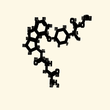 CN(C(=O)OC(C)(C)C)[C@H]1CC[C@H](Oc2ncnc3sc4c(c23)[C@@H](CC(=O)NCC(N)=O)CC4)CC1